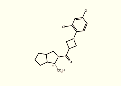 O=C(O)[C@@H]1C2CCCC2CN1C(=O)C1CN(c2ccc(Cl)cc2Cl)C1